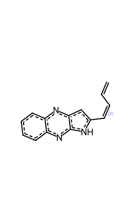 C=C/C=C\c1cc2nc3ccccc3nc2[nH]1